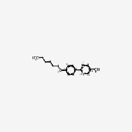 CCCCCCOc1ccc(-c2ncc(O)cn2)cc1